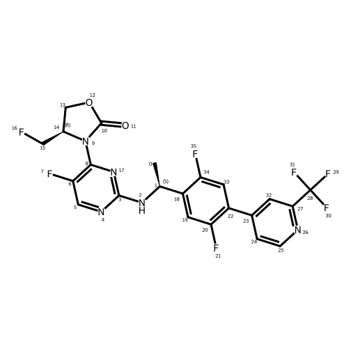 C[C@H](Nc1ncc(F)c(N2C(=O)OC[C@@H]2CF)n1)c1cc(F)c(-c2ccnc(C(F)(F)F)c2)cc1F